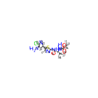 Cc1nc(NC(=O)[C@@H](NC(=O)OC(C)(C)C)C(C)C)sc1-c1cnc(Cl)c(N)c1